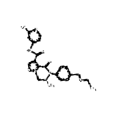 C[C@H]1Cn2ncc(C(=O)Nc3ccnc(C#N)c3)c2C(=O)N1c1ccc(COCC(F)(F)F)cc1